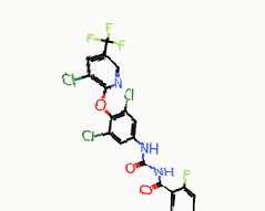 O=C(NC(=O)c1ccccc1F)Nc1cc(Cl)c(Oc2ncc(C(F)(F)F)cc2Cl)c(Cl)c1